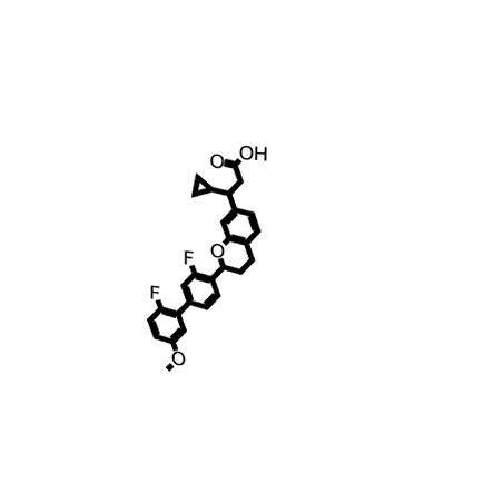 COc1ccc(F)c(-c2ccc(C3CCc4ccc(C(CC(=O)O)C5CC5)cc4O3)c(F)c2)c1